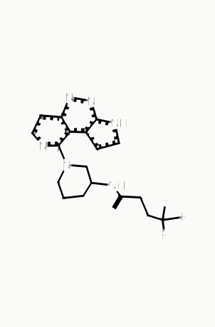 O=C(CCC(F)(F)F)NC1CCCN(c2nccc3nnc4[nH]ccc4c23)C1